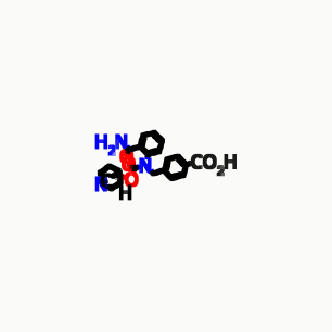 NC(=O)c1ccccc1N(Cc1ccc(C(=O)O)cc1)C(=O)O[C@H]1CN2CCC1CC2